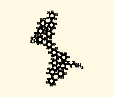 C=CCSc1ccc(C2(c3ccccc3)c3cc(-c4ccccc4)ccc3-c3ccc(N(c4ccccc4)c4ccc(-c5ccc(N(c6ccccc6)c6ccc7c(c6)C(c6ccccc6)(c6ccc(SCC=C)cc6)c6cc(-c8ccccc8)ccc6-7)cc5)cc4)cc32)cc1